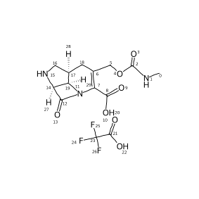 CNC(=O)OCC1=C(C(=O)O)N2C(=O)[C@H]3NC[C@@H](C1)[C@H]32.O=C(O)C(F)(F)F